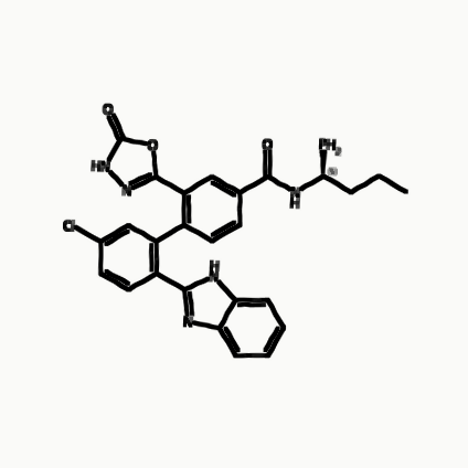 CCC[C@H](P)NC(=O)c1ccc(-c2cc(Cl)ccc2-c2nc3ccccc3[nH]2)c(-c2n[nH]c(=O)o2)c1